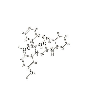 COc1ccc(OC)c(N(CC(=O)Nc2cccnc2)S(=O)(=O)c2ccccc2C#N)c1